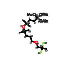 CO[Si](CC[Si](C)(C)O[Si](C)(C)CCCOCC(C)(F)F)(OC)OC